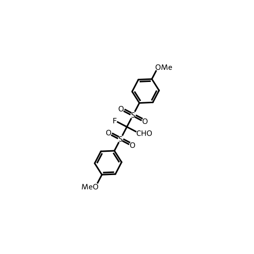 COc1ccc(S(=O)(=O)C(F)(C=O)S(=O)(=O)c2ccc(OC)cc2)cc1